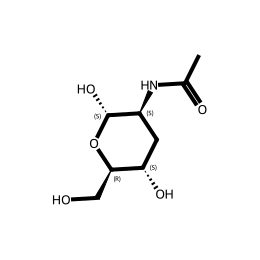 CC(=O)N[C@H]1C[C@H](O)[C@@H](CO)O[C@@H]1O